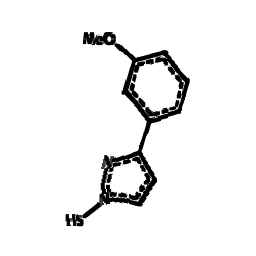 COc1cccc(-c2ccn(S)n2)c1